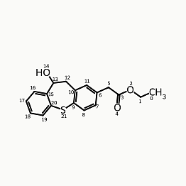 CCOC(=O)Cc1ccc2c(c1)CC(O)c1ccccc1S2